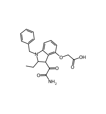 CCC1C(C(=O)C(N)=O)c2c(OCC(=O)O)cccc2N1Cc1ccccc1